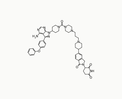 Nc1ncnc2c1c(-c1ccc(Oc3ccccc3)cc1)nn2C1CCN(C(=O)N2CCN(CCCN3CCC(c4ccc5c(c4)CN(C4CCC(=O)NC4=O)C5=O)CC3)CC2)CC1